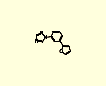 [c]1ccc(-c2ccco2)cc1-n1cncn1